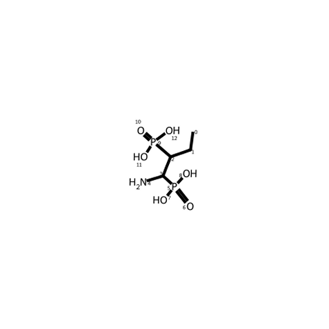 CCC(C(N)P(=O)(O)O)P(=O)(O)O